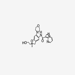 C[C@]1(CCO)Cc2cc(NC(=O)c3cnn4cccnc34)c(N3CCOCC3)cc2O1